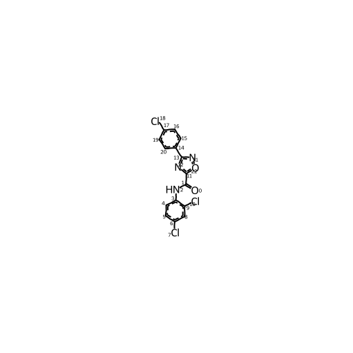 O=C(Nc1ccc(Cl)cc1Cl)c1nc(-c2ccc(Cl)cc2)no1